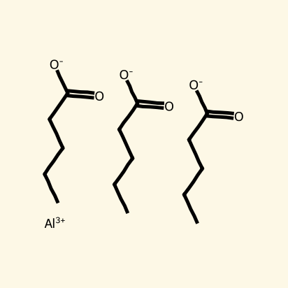 CCCCC(=O)[O-].CCCCC(=O)[O-].CCCCC(=O)[O-].[Al+3]